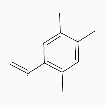 C=[C]c1cc(C)c(C)cc1C